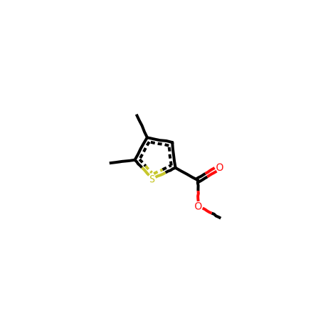 COC(=O)c1cc(C)c(C)s1